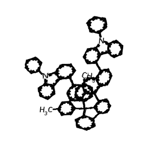 Cc1ccc(C2(c3ccc(C)cc3)c3ccccc3-c3cccc(-c4c5cccc(-c6cccc7c6c6ccccc6n7-c6ccccc6)c5cc5c(-c6cccc7c6c6ccccc6n7-c6ccccc6)cccc45)c32)cc1